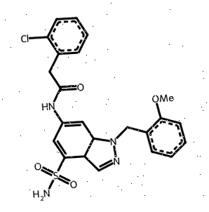 COc1ccccc1CN1N=CC2C(S(N)(=O)=O)=CC(NC(=O)Cc3ccccc3Cl)=CC21